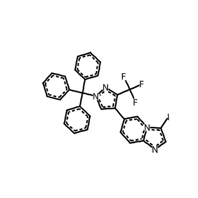 FC(F)(F)c1nn(C(c2ccccc2)(c2ccccc2)c2ccccc2)cc1-c1ccc2ncc(I)n2c1